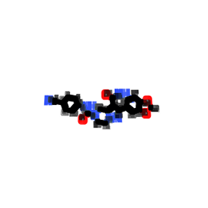 N#Cc1ccc(NC(=O)N2CCn3nc(-c4ccc5c(c4)OCO5)c(C(N)=O)c3C2)cc1